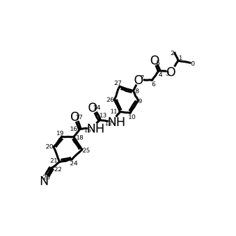 CC(C)OC(=O)COc1ccc(NC(=O)NC(=O)c2ccc(C#N)cc2)cc1